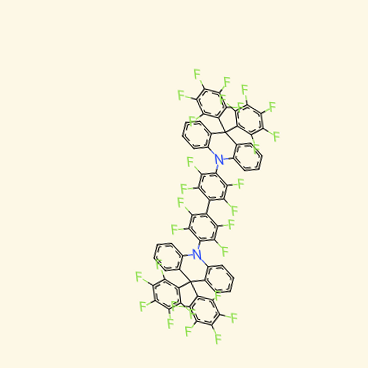 Fc1c(F)c(F)c(C2(c3c(F)c(F)c(F)c(F)c3F)c3ccccc3N(c3c(F)c(F)c(-c4c(F)c(F)c(N5c6ccccc6C(c6c(F)c(F)c(F)c(F)c6F)(c6c(F)c(F)c(F)c(F)c6F)c6ccccc65)c(F)c4F)c(F)c3F)c3ccccc32)c(F)c1F